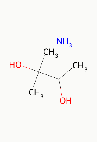 CC(O)C(C)(C)O.N